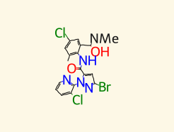 CNC(O)c1cc(Cl)cc(C)c1NC(=O)c1cc(Br)nn1-c1ncccc1Cl